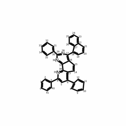 c1ccc(-c2cc(-c3ccccc3)c3ccc4c(-c5cccc6ccccc56)nc(-c5ccccc5)nc4c3n2)cc1